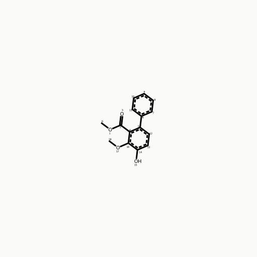 COC(=O)c1c(-c2ccccc2)ccc(O)c1OC